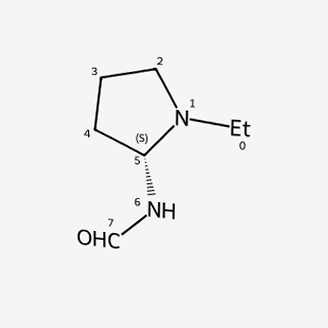 CCN1CCC[C@H]1NC=O